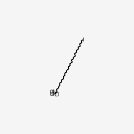 Cl[Si](Cl)(Cl)CCCCCCCCCCCCCCCCCCCCCCCCCCCCCCCCI